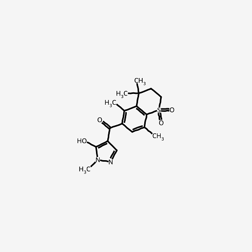 Cc1cc(C(=O)c2cnn(C)c2O)c(C)c2c1S(=O)(=O)CCC2(C)C